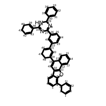 C1=CCC(c2cccc3c2oc2c4ccccc4c(C4=CC(c5cccc(C6=NC(c7ccccc7)NC(C7=CCCC=C7)=N6)c5)=CCC4)cc32)C=C1